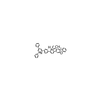 CC1(C)c2cc(-c3ccc(-c4cc(-c5ccccc5)cc(-c5ccccc5)n4)cc3)ccc2-c2cc3oc4ccccc4c3cc21